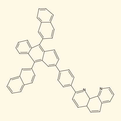 C1=CC2C=Cc3cccnc3C2N=C1c1ccc(-c2ccc3c(-c4ccc5ccccc5c4)c4ccccc4c(-c4ccc5ccccc5c4)c3c2)cc1